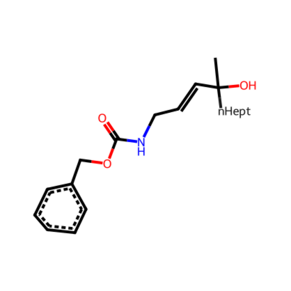 CCCCCCCC(C)(O)/C=C/CNC(=O)OCc1ccccc1